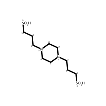 O=S(=O)(O)CCCN1CCN(CCCS(=O)(=O)O)CC1